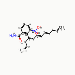 C=CC/C=C/C=C/C=C(/CC=C)c1c(C(N)=O)cccc1[N+](=O)[O-]